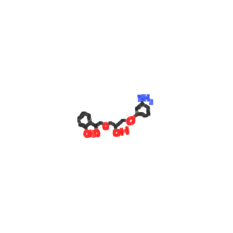 Nc1cccc(OCC(O)COCC(=O)c2ccccc2O)c1